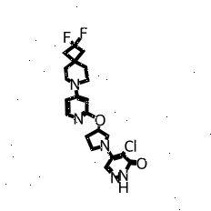 O=c1[nH]ncc(N2CC[C@@H](Oc3cc(N4CCC5(CC4)CC(F)(F)C5)ccn3)C2)c1Cl